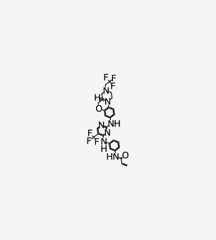 C=CC(=O)Nc1cccc(Nc2nc(Nc3ccc4c(c3)OC[C@H]3CN(CC(F)(F)F)CCN43)ncc2C(F)(F)F)c1